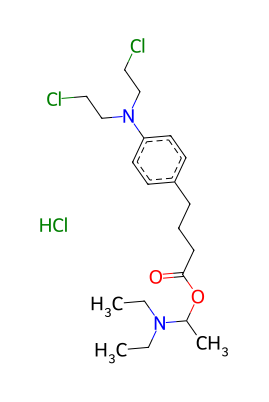 CCN(CC)C(C)OC(=O)CCCc1ccc(N(CCCl)CCCl)cc1.Cl